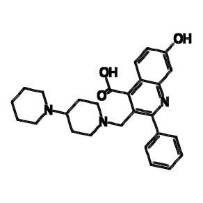 O=C(O)c1c(CN2CCC(N3CCCCC3)CC2)c(-c2ccccc2)nc2cc(O)ccc12